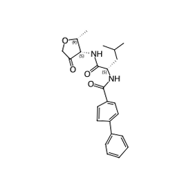 CC(C)C[C@H](NC(=O)c1ccc(-c2ccccc2)cc1)C(=O)N[C@@H]1C(=O)CO[C@@H]1C